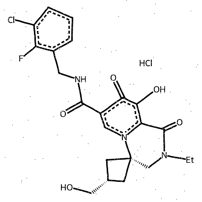 CCN1C[C@]2(C[C@@H](CO)C2)n2cc(C(=O)NCc3cccc(Cl)c3F)c(=O)c(O)c2C1=O.Cl